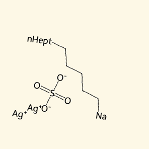 CCCCCCCCCCC[CH2][Na].O=S(=O)([O-])[O-].[Ag+].[Ag+]